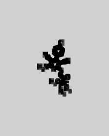 CC(C)(C)C(=O)CSc1nc(N)c(C#N)c(-c2ccc(Cl)cc2)c1C#N